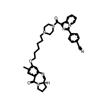 Cc1cc2c(cc1OCCCCCCN1CCN(C(=O)c3nc(-c4ccc(C#N)cc4)n4ccccc34)CC1)N=C[C@@H]1CCCN1C2=O